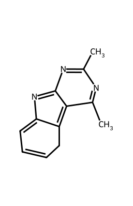 Cc1nc(C)c2c(n1)=NC1=CC=CCC=21